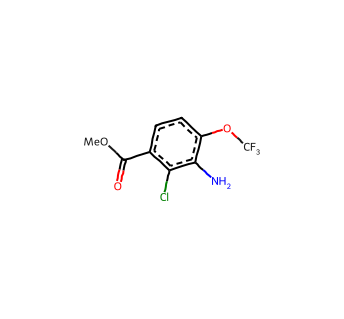 COC(=O)c1ccc(OC(F)(F)F)c(N)c1Cl